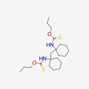 CCCOC(=S)NC1(CC2(NC(=S)OCCC)CCCCC2)CCCCC1